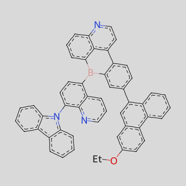 CCOc1ccc2c(c1)cc(-c1ccc3c(c1)B(c1ccc(-n4c5ccccc5c5ccccc54)c4ncccc14)c1cccc4nccc-3c14)c1ccccc12